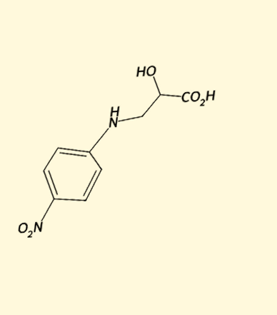 O=C(O)C(O)CNc1ccc([N+](=O)[O-])cc1